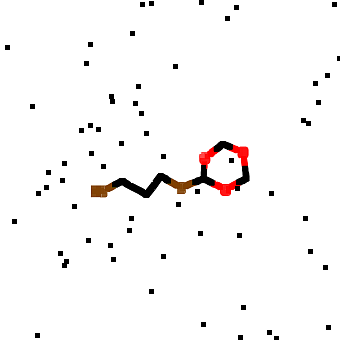 SCCCSC1OCOCO1